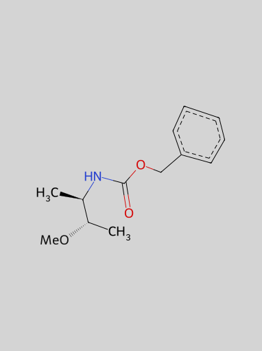 CO[C@@H](C)[C@@H](C)NC(=O)OCc1ccccc1